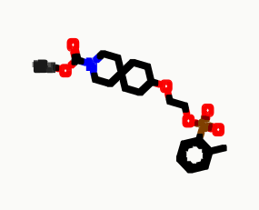 Cc1ccccc1S(=O)(=O)OCCOC1CCC2(CC1)CCN(C(=O)OC(C)(C)C)CC2